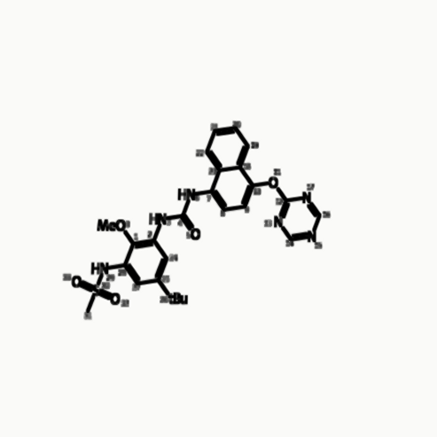 COc1c(NC(=O)Nc2ccc(Oc3ncncn3)c3ccccc23)cc(C(C)(C)C)cc1NS(C)(=O)=O